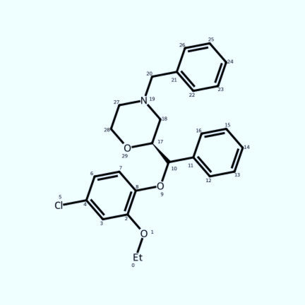 CCOc1cc(Cl)ccc1OC(c1ccccc1)[C@@H]1CN(Cc2ccccc2)CCO1